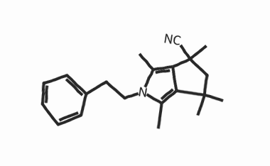 Cc1c2c(c(C)n1CCc1ccccc1)C(C)(C#N)CC2(C)C